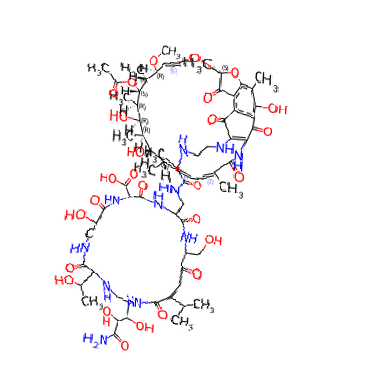 CO[C@H]1/C=C/O[C@@]2(C)Oc3c(C)c(O)c4c(c3C2=O)C(=O)C(NCCNC(C)C(=O)NCC2NC(=O)C(C(=O)O)NC(=O)C(O)CNC(=O)C(C(C)O)NCC(C(O)C(O)C(N)=O)NC(=O)C(C(C)C)CC(=O)C(CO)NC2=O)=C(NC(=O)/C(C)=C\C=C\[C@H](C)[C@H](O)[C@@H](C)[C@@H](O)[C@@H](C)[C@H](OC(C)=O)[C@@H]1C)C4=O